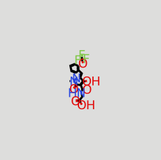 Cn1c(=O)c(C(=O)NCC(=O)O)c(O)c2cc3c(OC(F)(F)F)cccc3n21